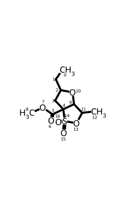 CCC1CC2(C(=O)OC)C(O1)C(C)OS2(=O)=O